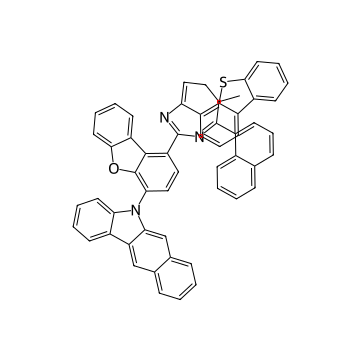 CC1C/C=C(c2cccc3c2sc2ccccc23)/N=C(c2ccc(-n3c4ccccc4c4cc5ccccc5cc43)c3oc4ccccc4c23)\N=C/1c1cccc2ccccc12